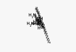 CCCCCCCCCCCCCCCC(=O)OC(CCCCCCCCCCCCCCC)CC(=O)N[C@@H](CCCCN)C(=O)N[C@@H](CCCCN)C(=O)O